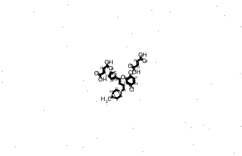 CN1CCN(CCCC(Oc2cc(Cl)ccc2Cl)c2cccs2)CC1.O=C(O)C=CC(=O)O.O=C(O)C=CC(=O)O